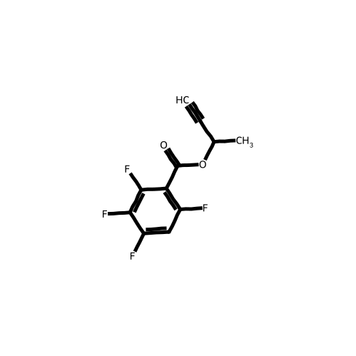 C#CC(C)OC(=O)c1c(F)cc(F)c(F)c1F